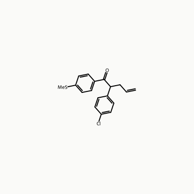 C=CCC(C(=O)c1ccc(SC)cc1)c1ccc(Cl)cc1